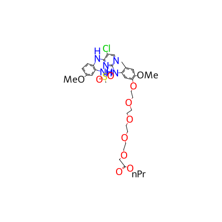 CCCOC(=O)COCCOCCOCCOCCOc1cc(Nc2ncc(Cl)c(Nc3ccc(OC)cc3NS(C)(=O)=O)n2)c(C)cc1OC